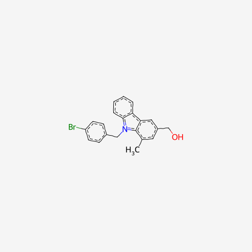 Cc1cc(CO)cc2c3ccccc3n(Cc3ccc(Br)cc3)c12